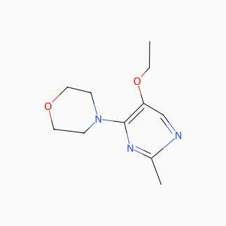 CCOc1cnc(C)nc1N1CCOCC1